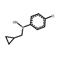 O=NN(CC1CC1)c1ccc(Cl)cc1